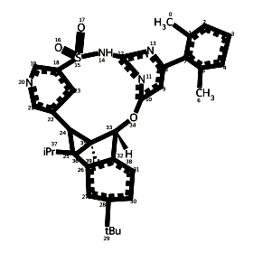 Cc1cccc(C)c1-c1cc2nc(n1)NS(=O)(=O)c1cncc(c1)C1Cc3cc(C(C)(C)C)ccc3[C@@H](O2)[C@H]1CC(C)C